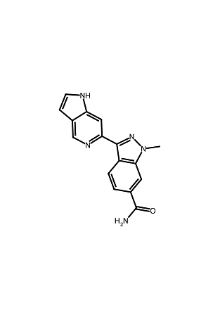 Cn1nc(-c2cc3[nH]ccc3cn2)c2ccc(C(N)=O)cc21